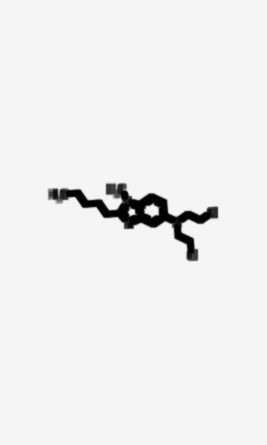 CCCCCc1nc2cc(N(CCCl)CCCl)ccc2n1C